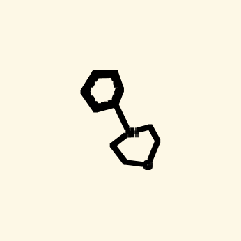 c1ccc([SH]2CCOCC2)cc1